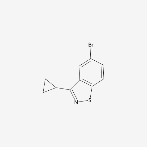 Brc1ccc2snc(C3CC3)c2c1